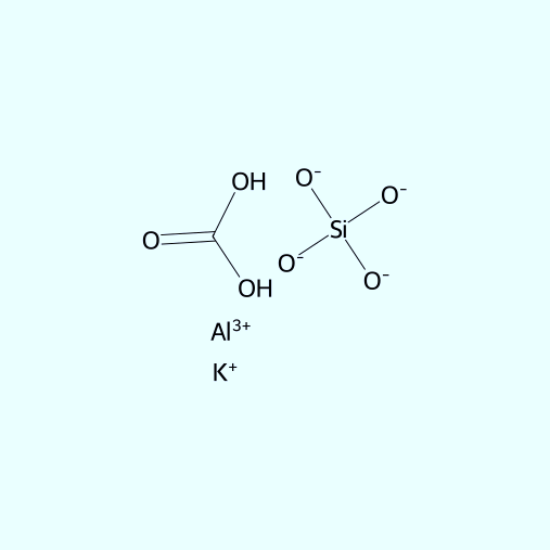 O=C(O)O.[Al+3].[K+].[O-][Si]([O-])([O-])[O-]